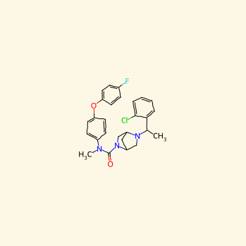 CC(c1ccccc1Cl)N1CC2CC1CN2C(=O)N(C)c1ccc(Oc2ccc(F)cc2)cc1